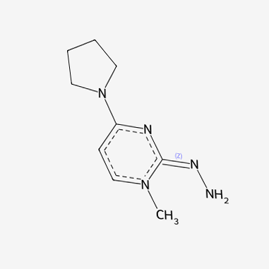 Cn1ccc(N2CCCC2)n/c1=N/N